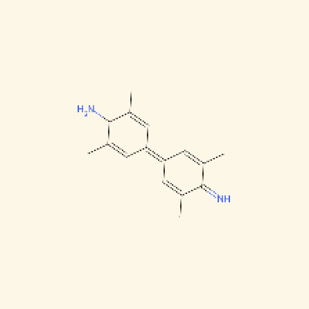 CC1=CC(=C2C=C(C)C(N)C(C)=C2)C=C(C)C1=N